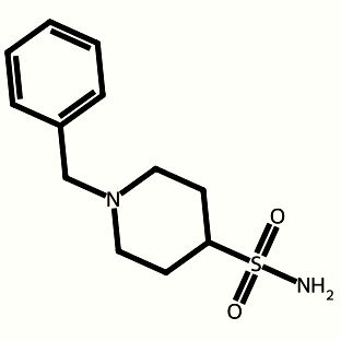 NS(=O)(=O)C1CCN(Cc2ccccc2)CC1